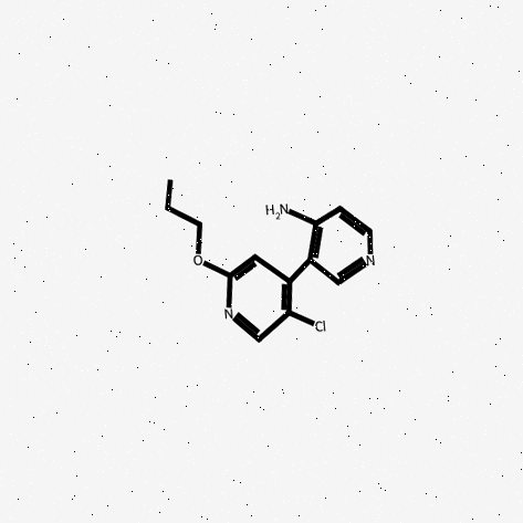 CCCOc1cc(-c2cnccc2N)c(Cl)cn1